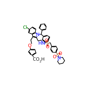 O=C(O)c1ccc(OCCc2c(CCNS(=O)(=O)Cc3ccc(S(=O)(=O)N4CCCCC4)cc3)n(C(c3ccccc3)c3ccccc3)c3ccc(Cl)cc23)cc1